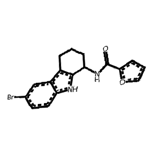 O=C(NC1CCCc2c1[nH]c1ccc(Br)cc21)c1ccco1